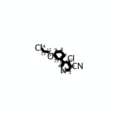 N#Cc1cncc(-c2cccc(OCCCl)c2)c1Cl